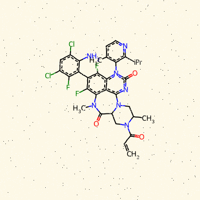 C=CC(=O)N1CC2C(=O)N(C)c3c(F)c(-c4c(N)c(Cl)cc(Cl)c4F)c(F)c4c3c(nc(=O)n4-c3c(C)ccnc3C(C)C)N2CC1C